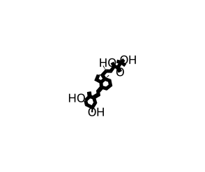 C=C1/C(=C\C=C2CCC[C@@]3(C)C2CC[C@@H]3[C@H](C)CC(O)C(=O)C(C)(C)O)C[C@@H](O)CC1O